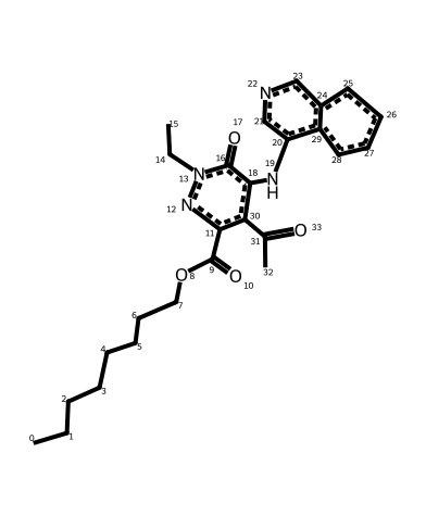 CCCCCCCCOC(=O)c1nn(CC)c(=O)c(Nc2cncc3ccccc23)c1C(C)=O